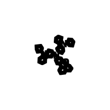 c1ccc(-n2c3ccccc3c3cc(N(c4ccc5c(c4)Oc4cccc6cccc-5c46)c4ccc5c(c4)c4ccccc4n5-c4ccccc4)ccc32)cc1